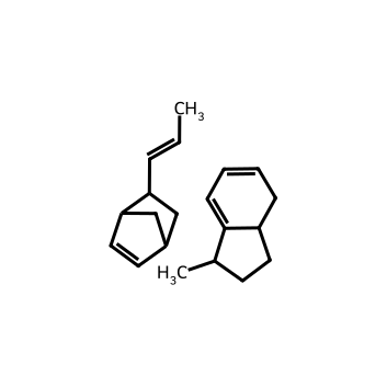 CC1CCC2CC=CC=C12.CC=CC1CC2C=CC1C2